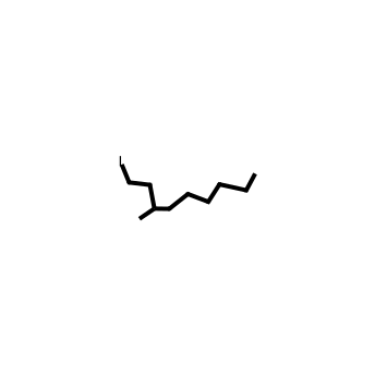 CCCCCCC(C)CCI